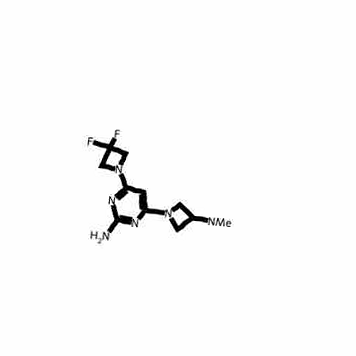 CNC1CN(c2cc(N3CC(F)(F)C3)nc(N)n2)C1